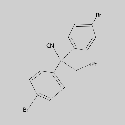 [C-]#[N+]C(CC(C)C)(c1ccc(Br)cc1)c1ccc(Br)cc1